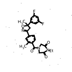 CCN1C(=O)CN(C(=O)c2ccc(C3=NOC(C)(c4cc(F)cc(F)c4)C3)cc2C)CC1=O